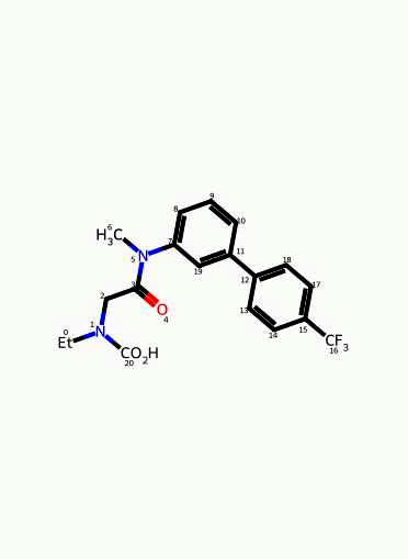 CCN(CC(=O)N(C)c1cccc(-c2ccc(C(F)(F)F)cc2)c1)C(=O)O